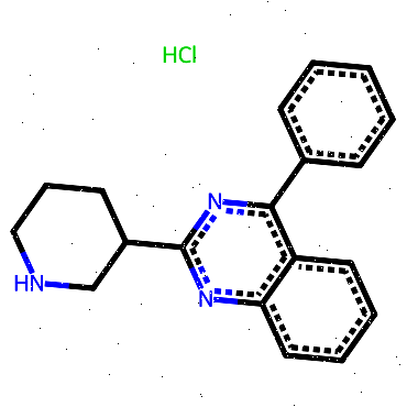 Cl.c1ccc(-c2nc(C3CCCNC3)nc3ccccc23)cc1